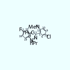 CCCN(/N=C(\C)c1cc(Cl)ccc1NC)c1ccc(F)cc1